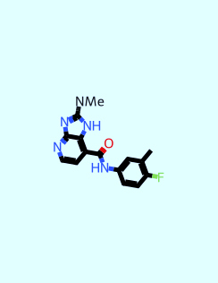 CNc1nc2nccc(C(=O)Nc3ccc(F)c(C)c3)c2[nH]1